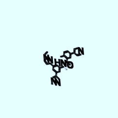 CCn1ccc(-c2cc(-c3cnn(C)c3)cc([C@@H](C)NC(=O)c3cc(-c4ccncc4)ccc3C)c2)n1